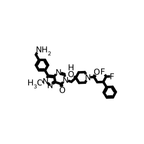 Cn1nc2c(=O)n(CC3(O)CCN(C(=O)CC(c4ccccc4)C(F)F)CC3)cnc2c1-c1ccc(CN)cc1